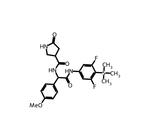 COc1ccc(C(NC(=O)C2CNC(=O)C2)C(=O)Nc2cc(F)c(S(C)(C)C)c(F)c2)cc1